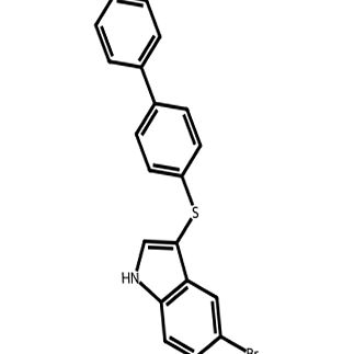 Brc1ccc2[nH]cc(Sc3ccc(-c4ccccc4)cc3)c2c1